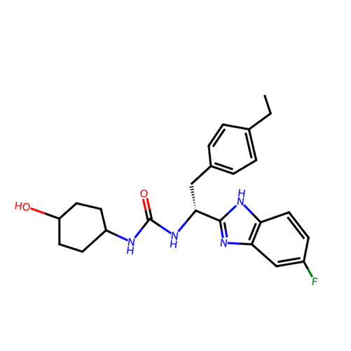 CCc1ccc(C[C@@H](NC(=O)NC2CCC(O)CC2)c2nc3cc(F)ccc3[nH]2)cc1